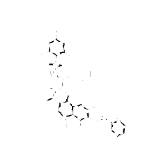 Cc1cc(C)c(S(=O)(=O)NC(CN(C)C(=O)c2c[nH]c3c(F)c(CNc4ccccn4)c(F)cc3c2=O)C(=O)O)c(C)c1